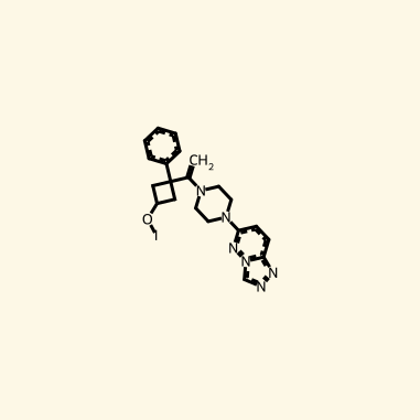 C=C(N1CCN(c2ccc3nncn3n2)CC1)C1(c2ccccc2)CC(OI)C1